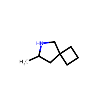 CC1CC2(CCC2)CN1